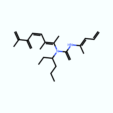 C=C/C=C(\C)NC(=C)N(/C(C)=C(C)/C=C\C(=C)C(=C)C)C(CC)CCC